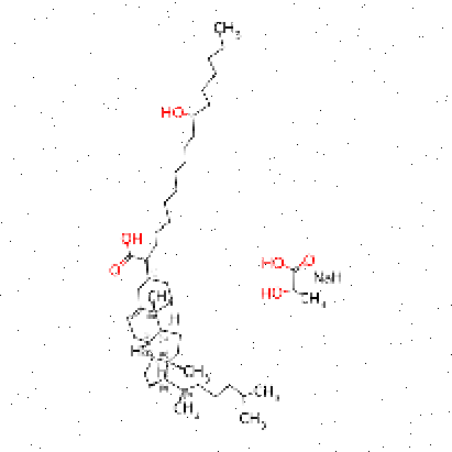 CC(O)C(=O)O.CCCCCCC(O)CCCCCCCCCC(C(=O)O)[C@H]1CC[C@@]2(C)C(=CC[C@H]3[C@@H]4CC[C@H]([C@H](C)CCCC(C)C)[C@@]4(C)CC[C@@H]32)C1.[NaH]